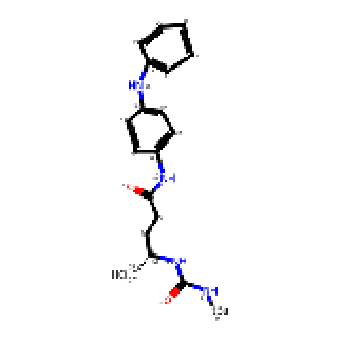 CC(C)(C)NC(=O)N[C@@H](CCC(=O)Nc1ccc(Nc2ccccc2)cc1)C(=O)O